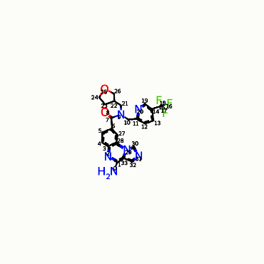 Nc1nc2ccc(C(=O)N(Cc3ccc(C(F)(F)F)cn3)CC3CCOC3)cc2n2cncc12